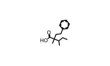 CCC(C)C(C)(CCc1ccccc1)C(=O)O